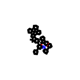 CC1(C)c2cc(-c3cc(-c4ccccc4)cc(N(c4ccccc4-c4ccccc4)c4cccc5c4C(C)(C)c4ccccc4-5)c3)ccc2-c2c1ccc1c2-c2ccccc2C12c1ccccc1-c1ccccc12